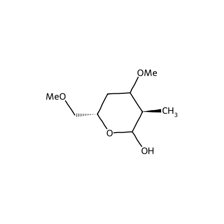 COC[C@@H]1CC(OC)[C@@H](C)C(O)O1